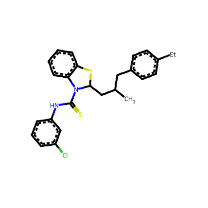 CCc1ccc(CC(C)CC2Sc3ccccc3N2C(=S)Nc2cccc(Cl)c2)cc1